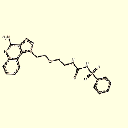 Nc1nc2ccccc2c2c1ncn2CCOCCNC(=O)NS(=O)(=O)c1ccccc1